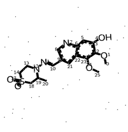 COc1c(O)cc2ncc(C=NN3CCS(=O)(=O)CC3C)cc2c1OC